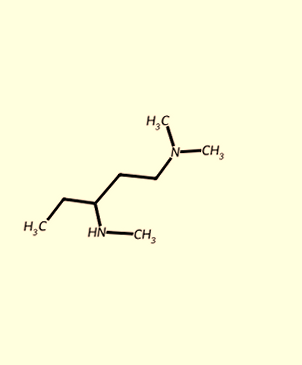 CC[C](CCN(C)C)NC